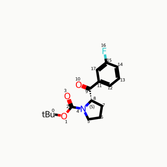 CC(C)(C)OC(=O)N1CCC[C@H]1C(=O)c1cccc(F)c1